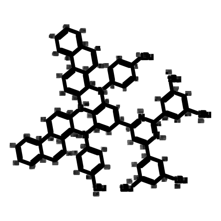 CC(C)(C)c1ccc(N2c3cc(-c4cc(-c5cc(C(C)(C)C)cc(C(C)(C)C)c5)nc(-c5cc(C(C)(C)C)cc(C(C)(C)C)c5)n4)cc4c3B(c3ccc5c(ccc6ccccc65)c32)c2ccc3c(ccc5ccccc53)c2N4c2ccc(C(C)(C)C)cc2)cc1